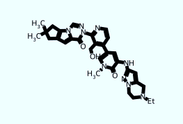 CCN1CCn2nc(Nc3cc(-c4ccnc(-n5ncn6c7c(cc6c5=O)CC(C)(C)C7)c4CO)cn(C)c3=O)cc2C1